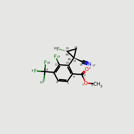 COC(=O)c1ccc(C(F)(F)F)c(F)c1[C@@]1(C#N)C[C@H]1F